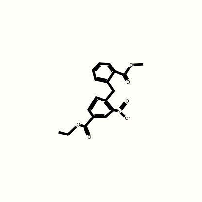 CCOC(=O)c1ccc(Cc2ccccc2C(=O)OC)c([N+](=O)[O-])c1